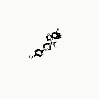 CC1(C)[C@@H]2CC[C@@]1(CS(=O)(=O)N1CCN(c3ccc(C(F)(F)F)cn3)CC1)C1(C2)OCCO1